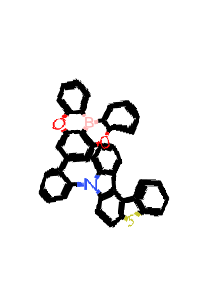 c1ccc2c(c1)Oc1cc(-c3ccccc3-n3c4ccccc4c4c5c(ccc43)sc3ccccc35)cc3c1B2c1ccccc1O3